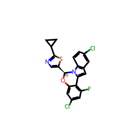 Fc1cc(Cl)cc2c1-c1cc3cc(Cl)ccc3n1[C@H](c1cnc(C3CC3)s1)O2